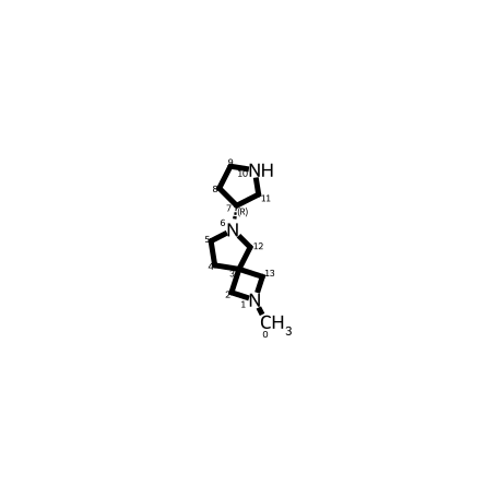 CN1CC2(CCN([C@@H]3CCNC3)C2)C1